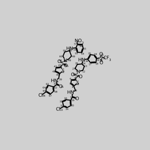 O=C(NCc1ccc(S(=O)(=O)N2CCC(Nc3ccc(S(=O)(=O)C(F)(F)F)cc3)CC2)s1)c1ccc(Cl)cc1.O=C(NCc1ccc(S(=O)(=O)N2CCC(Nc3ccccc3[N+](=O)[O-])CC2)s1)c1ccc(Cl)cc1